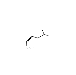 CN/C=C\CC(F)F